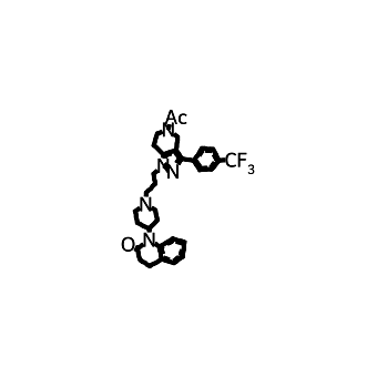 CC(=O)N1CCc2c(c(-c3ccc(C(F)(F)F)cc3)nn2CCCN2CCC(N3C(=O)CCc4ccccc43)CC2)C1